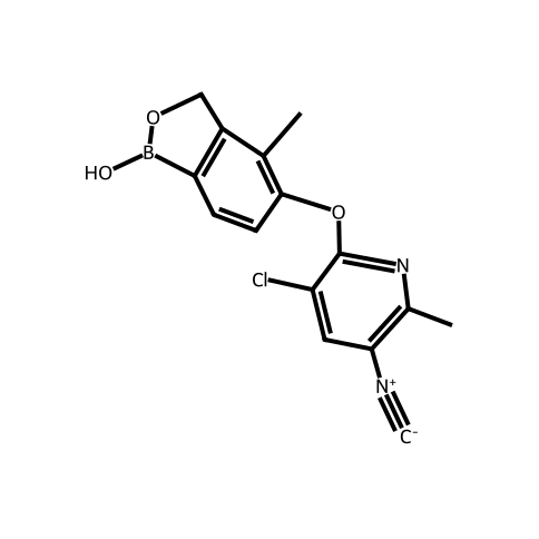 [C-]#[N+]c1cc(Cl)c(Oc2ccc3c(c2C)COB3O)nc1C